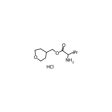 CC(C)C(N)C(=O)OCC1CCOCC1.Cl